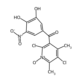 Cc1c(Cl)c(C)[n+]([O-])c(Cl)c1C(=O)c1cc(O)c(O)c([N+](=O)[O-])c1